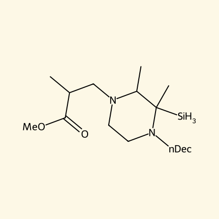 CCCCCCCCCCN1CCN(CC(C)C(=O)OC)C(C)C1(C)[SiH3]